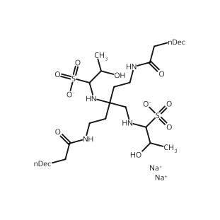 CCCCCCCCCCCC(=O)NCCC(CCNC(=O)CCCCCCCCCCC)(CNC(C(C)O)S(=O)(=O)[O-])NC(C(C)O)S(=O)(=O)[O-].[Na+].[Na+]